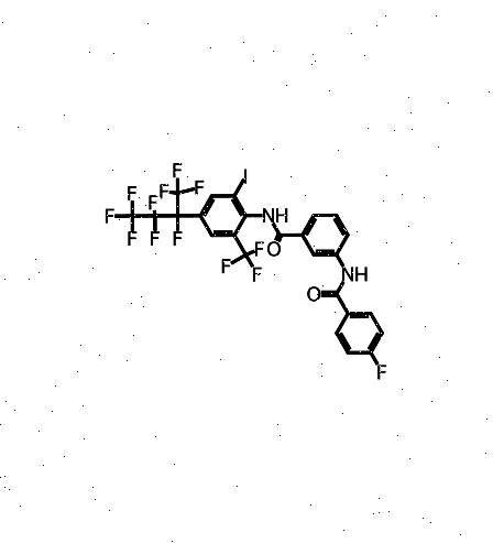 O=C(Nc1cccc(C(=O)Nc2c(I)cc(C(F)(C(F)(F)F)C(F)(F)C(F)(F)F)cc2C(F)(F)F)c1)c1ccc(F)cc1